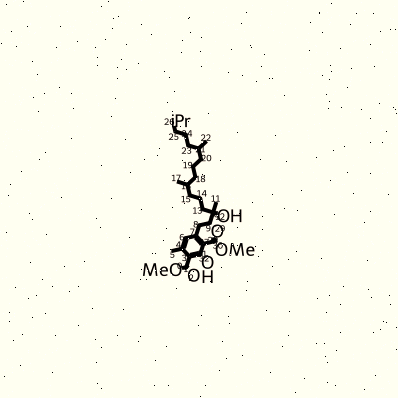 COC(=O)c1c(C)cc(CCC(C)(O)CCCC(C)CCCC(C)CCCC(C)C)c(C(=O)OC)c1O